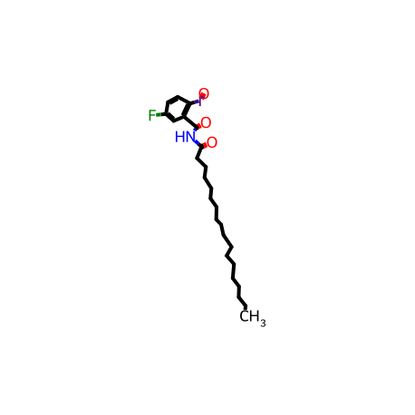 CCCCCCCCCCCCCCCCCC(=O)NC(=O)c1cc(F)ccc1I=O